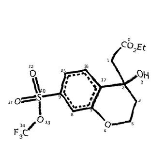 CCOC(=O)CC1(O)CCOc2cc(S(=O)(=O)OC(F)(F)F)ccc21